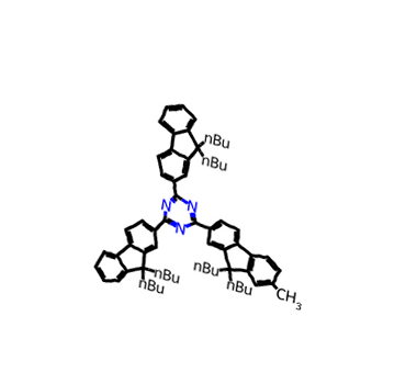 CCCCC1(CCCC)c2ccccc2-c2ccc(-c3nc(-c4ccc5c(c4)C(CCCC)(CCCC)c4ccccc4-5)nc(-c4ccc5c(c4)C(CCCC)(CCCC)c4cc(C)ccc4-5)n3)cc21